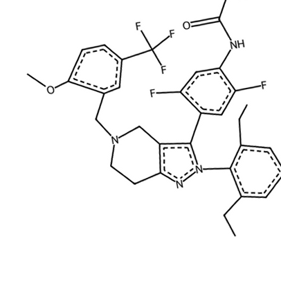 CCc1cccc(CC)c1-n1nc2c(c1-c1cc(F)c(NC(N)=O)cc1F)CN(Cc1cc(C(F)(F)F)ccc1OC)CC2